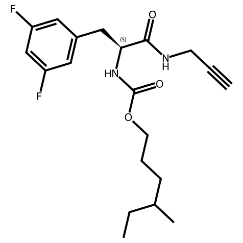 C#CCNC(=O)[C@H](Cc1cc(F)cc(F)c1)NC(=O)OCCCC(C)CC